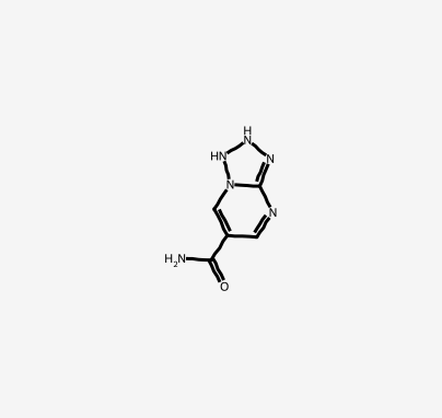 NC(=O)C1=CN2NNN=C2N=C1